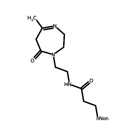 CCCCCCCCCCCC(=O)NCCN1CCN=C(C)CC1=O